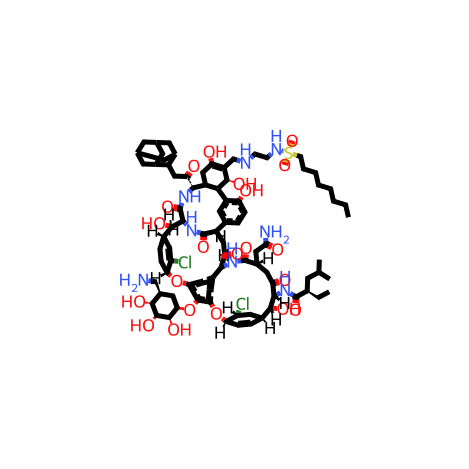 CCCCCCCCS(=O)(=O)NCCNCC1=C(O)CC2C(c3cc(ccc3O)[C@H]3CC(=O)[C@@H]4NC(=O)[C@H](CC(N)=O)CC(=O)[C@H](NC(=O)[C@H](CC)CC(C)C)[C@H](O)[C@H]5C=C[C@@H](Oc6cc4cc(c6O[C@@H]4C[C@H](CN)[C@@H](O)[C@H](O)[C@H]4O)O[C@@H]4CC[C@@H](C=C4Cl)[C@@H](O)[C@H](NC3=O)C(=O)N[C@@H]2C(=O)CC2C3CC4CC(C3)CC2C4)[C@H](Cl)C5)[C@H]1O